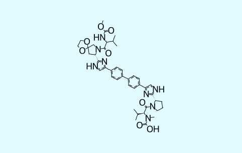 COC(=O)N[C@H](C(=O)N1CC2(C[C@H]1c1nc(-c3ccc(-c4ccc(-c5c[nH]c([C@@H]6CCCN6C(=O)[C@H](C(C)C)N(C)C(=O)O)n5)cc4)cc3)c[nH]1)OCCO2)C(C)C